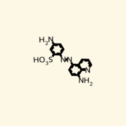 Nc1ccc(N=Nc2ccc(N)c3ncccc23)c(S(=O)(=O)O)c1